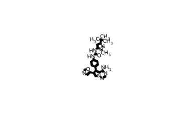 Cn1nc(C(C)(C)C)cc1NC(=O)Nc1ccc(-c2c(-c3cnco3)cn3ncnc(N)c23)cc1